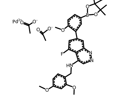 CC(=O)[O-].CC(=O)[O-].COc1ccc(CNc2cnnc3cc(-c4cc(B5OC(C)(C)C(C)(C)O5)ccc4OC)cc(F)c23)c(OC)c1.[Pd+2]